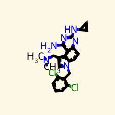 CN(C)Cc1cn(Cc2c(Cl)cccc2Cl)c2ccc3nc(NC4CC4)nc(N)c3c12